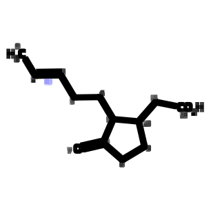 C/C=C/CCC1C(=O)CCC1CC(=O)O